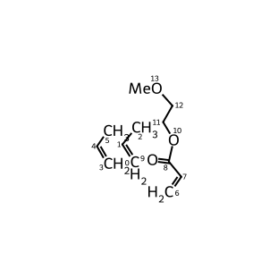 C=CC.C=CC.C=CC(=O)OCCOC